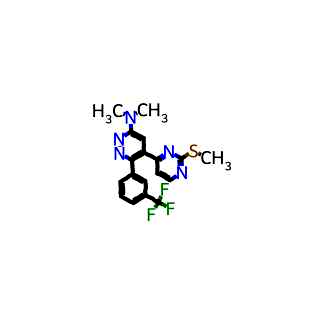 CSc1nccc(-c2cc(N(C)C)nnc2-c2cccc(C(F)(F)F)c2)n1